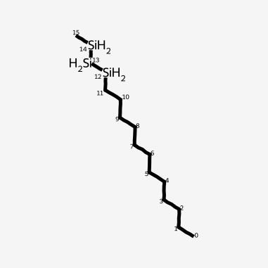 CCCCCCCCCCCC[SiH2][SiH2][SiH2]C